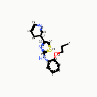 CCCOc1ccccc1Nc1nc(C2C=NC=CC2)cs1